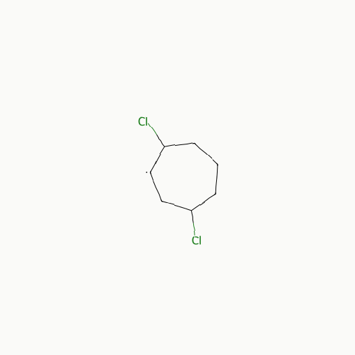 ClC1[CH]CC(Cl)CCC1